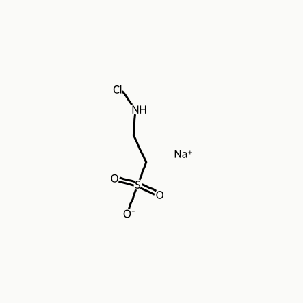 O=S(=O)([O-])CCNCl.[Na+]